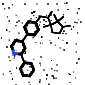 CC1CCC(C)(C(C)Cc2ccc(-c3ccnc(-c4ccccc4)c3)cc2)C1(C)C